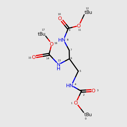 CC(C)(C)OC(=O)NCC(CNC(=O)OC(C)(C)C)NC(=O)OC(C)(C)C